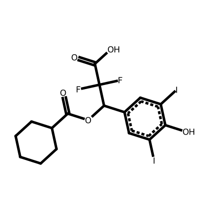 O=C(OC(c1cc(I)c(O)c(I)c1)C(F)(F)C(=O)O)C1CCCCC1